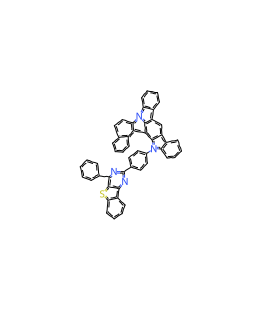 c1ccc(-c2nc(-c3ccc(-n4c5ccccc5c5cc6c7ccccc7n7c8ccc9ccccc9c8c(c54)c67)cc3)nc3c2sc2ccccc23)cc1